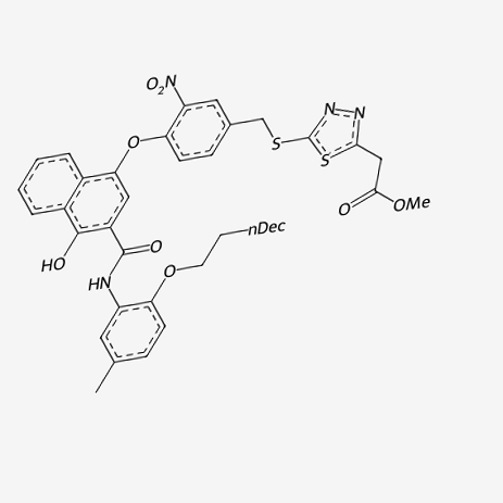 CCCCCCCCCCCCOc1ccc(C)cc1NC(=O)c1cc(Oc2ccc(CSc3nnc(CC(=O)OC)s3)cc2[N+](=O)[O-])c2ccccc2c1O